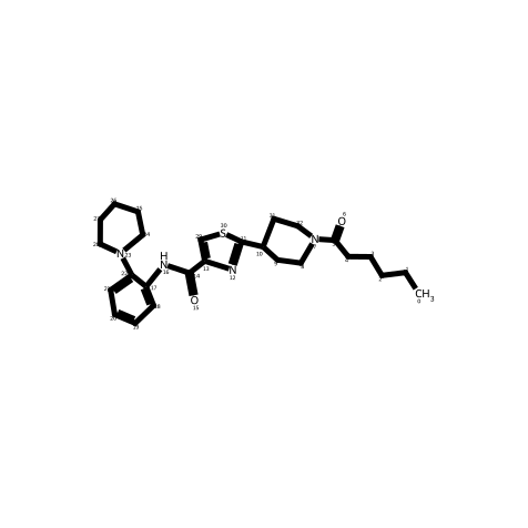 CCCCCC(=O)N1CCC(c2nc(C(=O)Nc3ccccc3N3CCCCC3)cs2)CC1